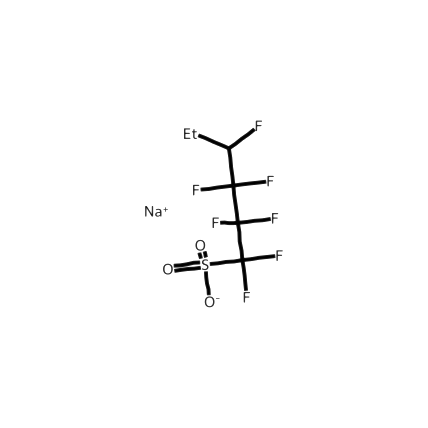 CCC(F)C(F)(F)C(F)(F)C(F)(F)S(=O)(=O)[O-].[Na+]